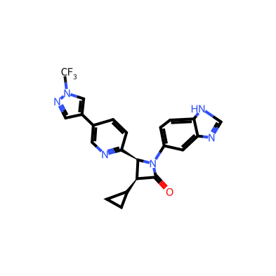 O=C1[C@@H](C2CC2)[C@@H](c2ccc(-c3cnn(C(F)(F)F)c3)cn2)N1c1ccc2[nH]cnc2c1